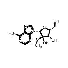 CO[C@@]1(O)[C@H](O)[C@@H](CO)O[C@H]1n1cnc2c(N)ncnc21